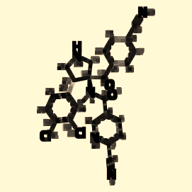 CN(C(=O)c1ccc(C#N)nc1)[C@]1(C(=O)c2ccc(C#N)cc2)CNC[C@H]1c1ccc(Cl)c(Cl)c1